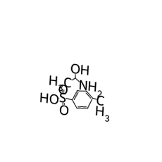 CC(N)O.Cc1ccc(S(=O)(=O)O)cc1